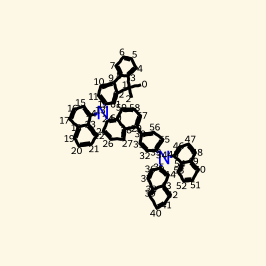 CC1(C)c2ccccc2-c2ccc(N(c3cccc4ccccc34)c3cccc4c(-c5ccc(N(c6ccc7ccccc7c6)c6cccc7ccccc67)cc5)cccc34)cc21